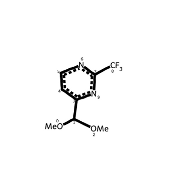 COC(OC)c1ccnc(C(F)(F)F)n1